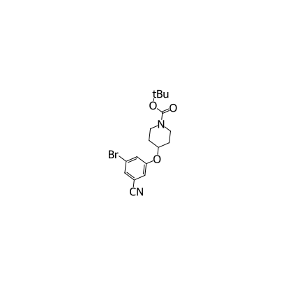 CC(C)(C)OC(=O)N1CCC(Oc2cc(Br)cc(C#N)c2)CC1